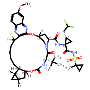 COc1ccc2nc3c(nc2c1)O[C@@H]1C[C@@H](C(=O)N[C@]2(C(=O)NS(=O)(=O)C4(C)CC4)C[C@H]2CC(F)F)N(C1)C(=O)[C@H](C(C)(C)C)NC(=O)O[C@@H]1C[C@@H]2C[C@@H]2[C@H]1CCCCC3(F)F